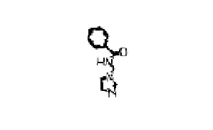 O=C(NCN1C=NCC1)c1ccccc1